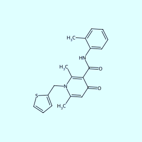 Cc1ccccc1NC(=O)c1c(C)n(Cc2cccs2)c(C)cc1=O